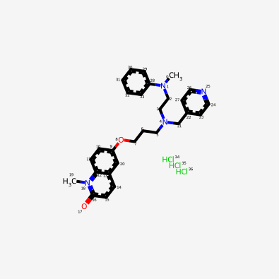 CN(CCN(CCCOc1ccc2c(ccc(=O)n2C)c1)Cc1ccncc1)c1ccccc1.Cl.Cl.Cl